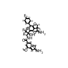 COc1cc(C(=O)NC[C@](O)(c2cc3c(c(-c4ccc(F)cc4)n2)OC[C@]3(C)C(N)=O)C(F)(F)F)cn2nc(N)cc12